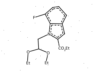 CCOC(=O)c1cc2cccc(F)c2n1CC(OCC)OCC